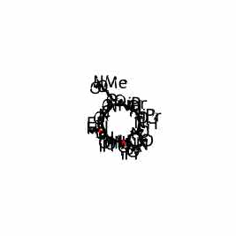 C/C=C/C[C@@H](C)[C@@H](O)[C@@H]1C(=O)N[C@@H](CC)C(=O)N(C)CC(=O)N(C)[C@@H]([C@@H](C)OCCCCOC(=O)NC)C(=O)N[C@@H](C(C)C)C(=O)N(C)[C@@H](CC(C)C)C(=O)N[C@@H](C)C(=O)N2C(C)C[C@@H](C(=O)N(C)[C@@H](C(C)C)C(=O)N1C)N(C)C(=O)[C@H](CC(C)C)N(C)C(=O)[C@H]2C